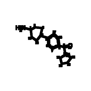 NC1CCC(c2ccc(C(=O)N3CCCC3)cc2)CC1